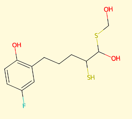 OCSC(O)C(S)CCCc1cc(F)ccc1O